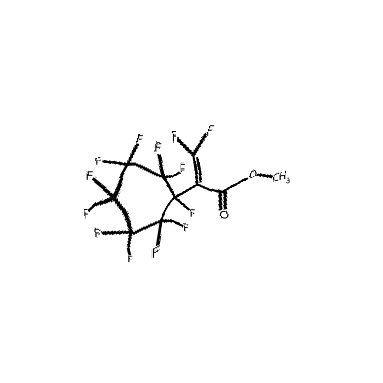 COC(=O)C(=C(F)F)C1(F)C(F)(F)C(F)(F)C(F)(F)C(F)(F)C1(F)F